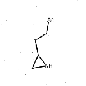 CC(=O)CCC1CN1